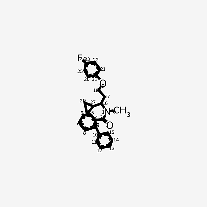 CN(C(=O)c1ccccc1-c1ccccc1)C(CCOc1ccc(F)cc1)C1CC1